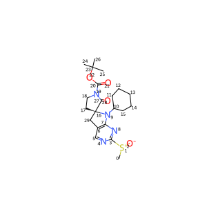 C[S+]([O-])c1ncc2c(n1)N(C1CCCCC1)[C@]1(CCN(C(=O)OC(C)(C)C)C1=O)C2